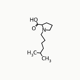 CC(C)CCCCN1CCCC1C(=O)O